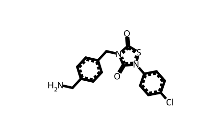 NCc1ccc(Cn2c(=O)sn(-c3ccc(Cl)cc3)c2=O)cc1